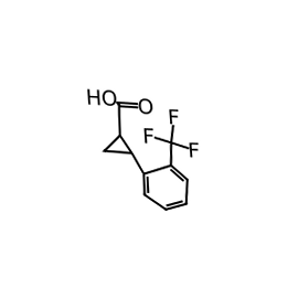 O=C(O)C1CC1c1ccccc1C(F)(F)F